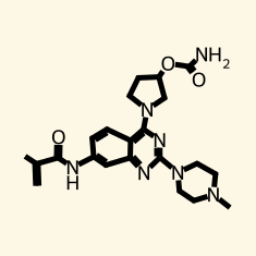 C=C(C)C(=O)Nc1ccc2c(N3CCC(OC(N)=O)C3)nc(N3CCN(C)CC3)nc2c1